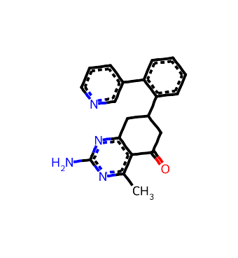 Cc1nc(N)nc2c1C(=O)CC(c1ccccc1-c1cccnc1)C2